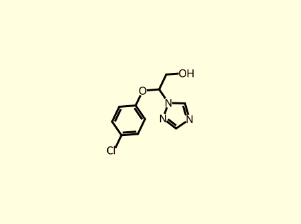 OCC(Oc1ccc(Cl)cc1)n1cncn1